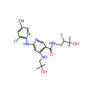 CC(C)(O)CNc1cc(Nc2ncc(C#N)cc2Cl)ncc1C(=O)NCC(F)C(C)(C)O